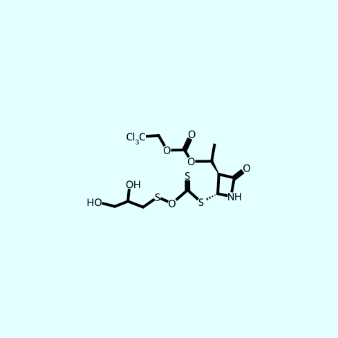 CC(OC(=O)OCC(Cl)(Cl)Cl)[C@H]1C(=O)N[C@@H]1SC(=S)OSCC(O)CO